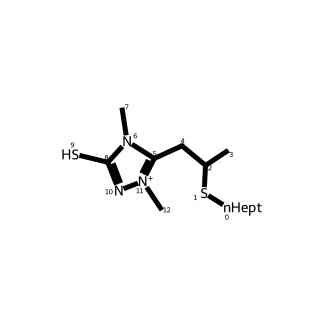 CCCCCCCSC(C)Cc1n(C)c(S)n[n+]1C